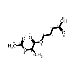 CC(=O)OC(C)C(=O)OCCCC(=O)O